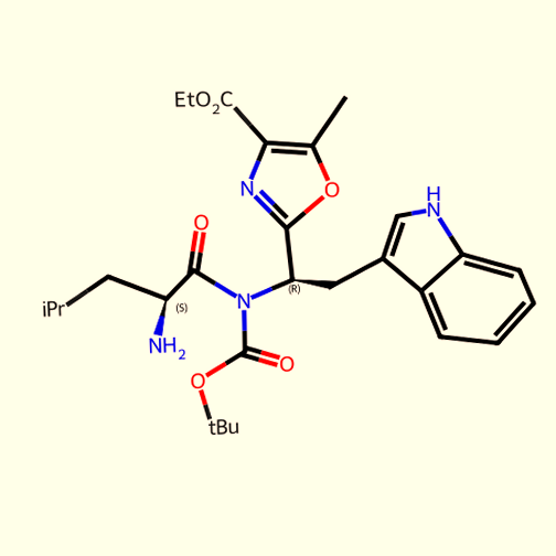 CCOC(=O)c1nc([C@@H](Cc2c[nH]c3ccccc23)N(C(=O)OC(C)(C)C)C(=O)[C@@H](N)CC(C)C)oc1C